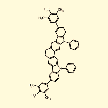 Cc1cc(C2=Cc3c(n(-c4ccccc4)c4cc5c(cc34)CCc3cc4c6cc(-c7cc(C)c(C)c(C)c7)ccc6n(-c6ccccc6)c4cc3-5)CC2)cc(C)c1C